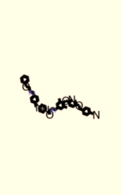 Cc1cc(/C=C/C(=O)N2CCN(Cc3ccc(/C=C/COc4ccccc4)cc3)CC2)cc(C)c1Oc1ccc(OCc2ccc(C#N)cc2)cn1